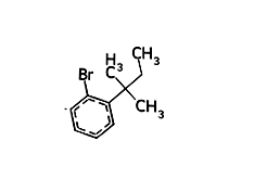 CCC(C)(C)c1ccc[c]c1Br